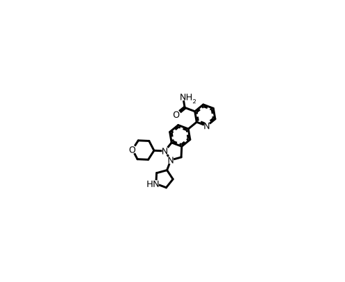 NC(=O)c1cccnc1-c1ccc2c(c1)CN(C1CCNC1)N2C1CCOCC1